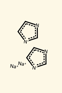 [Na+].[Na+].c1c[n-]cn1.c1c[n-]cn1